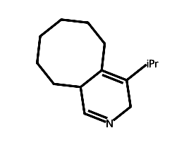 CC(C)C1=C2CCCCCCC2C=NC1